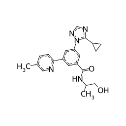 Cc1ccc(-c2cc(C(=O)NC(C)CO)cc(-n3ncnc3C3CC3)c2)nc1